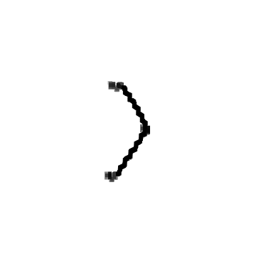 CCCCCCCCCCC[CH2][Hg][CH2]CCCCCCCCCCC